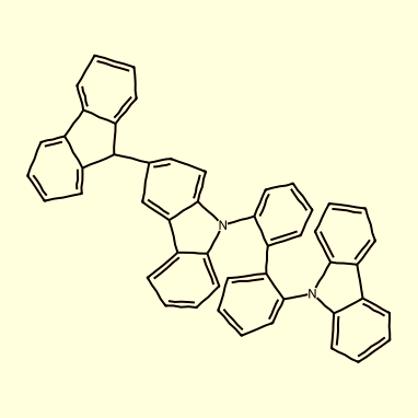 c1ccc2c(c1)-c1ccccc1C2c1ccc2c(c1)c1ccccc1n2-c1ccccc1-c1ccccc1-n1c2ccccc2c2ccccc21